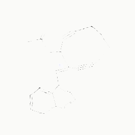 CC(=O)OC1C#CCCCCC#C/C1=C\c1cccc2ccccc12